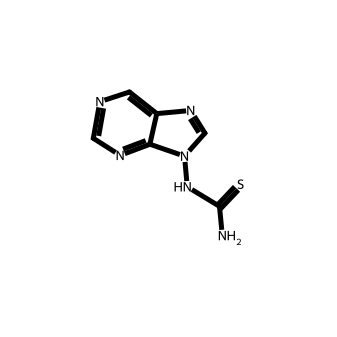 NC(=S)Nn1cnc2cncnc21